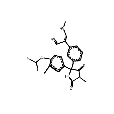 CN/C=C(\C=N)c1cccc(C2(c3ccc(OC(F)F)c(C)c3)NC(=O)N(C)C2=O)c1